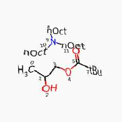 CC(O)COC(=O)C(C)(C)C.CCCCCCCCN(CCCCCCCC)CCCCCCCC